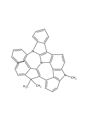 Cn1c2cccc3c4c(n5c6c(ccc1c6c32)c1c2ccccc2n(-c2ccccc2)c15)-c1ccccc1C4(C)C